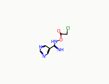 N=C(NOC(=O)CCl)c1cncnc1